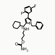 NC(=O)OCCCN[C@@H](c1cc(-c2cc(F)ccc2F)cn1Cc1ccccc1)C1CCCCC1